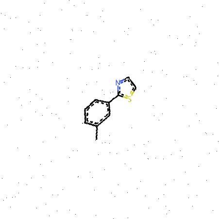 Cc1[c]ccc(-c2nccs2)c1